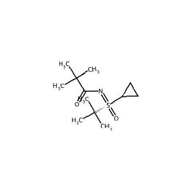 CC(C)(C)C(=O)N=[S@](=O)(C1CC1)C(C)(C)C